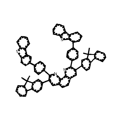 CC1(C)c2ccccc2-c2ccc(-c3cc4ccc5cc(-c6ccc7c(c6)C(C)(C)c6ccccc6-7)c(-c6ccc(-c7cccc8c7sc7ccccc78)cc6)nc5c4nc3-c3ccc(-c4ccc5sc6ccccc6c5c4)cc3)cc21